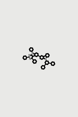 c1ccc(-c2cc(-c3ccccc3)cc(-n3c4ccccc4c4cc(-c5ccc6c(c5)c5c(-c7ccccc7)nc(-c7ccccc7)nc5n6-c5ccccc5)ccc43)c2)cc1